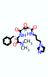 CN(C)C(=O)[C@H](Cc1ccccc1)NC(=O)[C@H]1O[C@@H]1C(=O)NCCCn1ccnc1